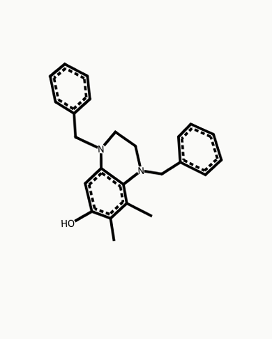 Cc1c(O)cc2c(c1C)N(Cc1ccccc1)CCN2Cc1ccccc1